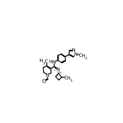 CC1=C(/C(=N\[C@H]2CCC2C)Nc2ccc(-c3cnn(C)c3)cc2)CN(C=O)CC1